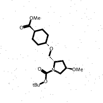 COC(=O)[C@H]1CC[C@H](OC[C@@H]2C[C@@H](OC)CN2C(=O)OC(C)(C)C)CC1